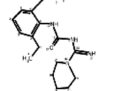 CCc1cccc(CC)c1NC(=O)NC(=N)N1CCCCC1